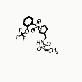 C=CS(=O)(=O)NCC1CCN(S(=O)(=O)c2ccccc2OC(F)(F)F)C1